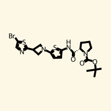 CC(C)(C)OC(=O)N1CCC[C@H]1C(=O)Nc1ccc(N2CC(c3ncc(Br)s3)C2)s1